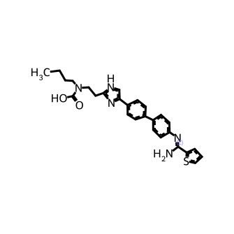 CCCCN(CCc1nc(-c2ccc(-c3ccc(/N=C(\N)c4cccs4)cc3)cc2)c[nH]1)C(=O)O